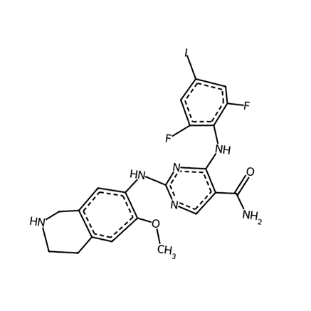 COc1cc2c(cc1Nc1ncc(C(N)=O)c(Nc3c(F)cc(I)cc3F)n1)CNCC2